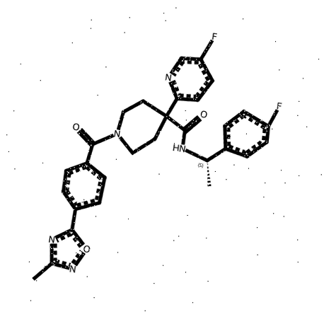 Cc1noc(-c2ccc(C(=O)N3CCC(C(=O)N[C@@H](C)c4ccc(F)cc4)(c4ccc(F)cn4)CC3)cc2)n1